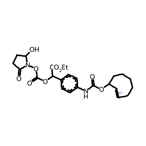 CCOC(=O)C(OC(=O)ON1C(=O)CCC1O)c1ccc(NC(=O)OC2/C=C/CCCCC2)cc1